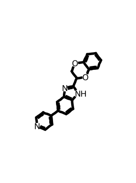 c1ccc2c(c1)OCC(c1nc3cc(-c4ccncc4)ccc3[nH]1)O2